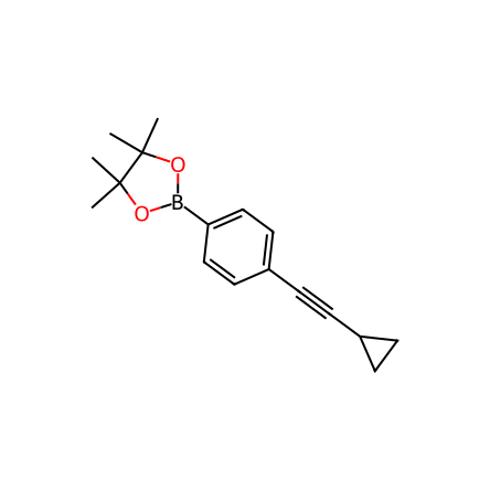 CC1(C)OB(c2ccc(C#CC3CC3)cc2)OC1(C)C